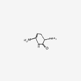 NC1=CCC(N)C(=O)N1